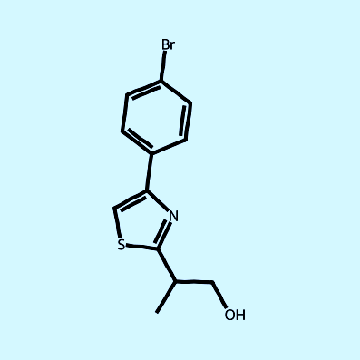 CC(CO)c1nc(-c2ccc(Br)cc2)cs1